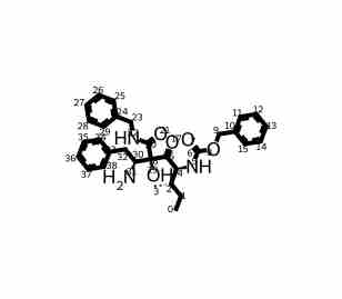 CC[C@H](C)[C@H](NC(=O)OCc1ccccc1)C(=O)[C@@](O)(C(=O)NCc1ccccc1)[C@@H](N)Cc1ccccc1